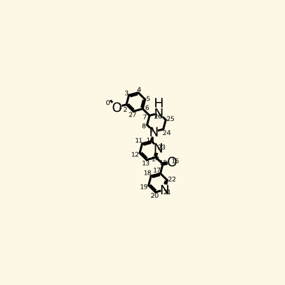 COc1cccc(C2CN(c3cccc(C(=O)c4cccnc4)n3)CCN2)c1